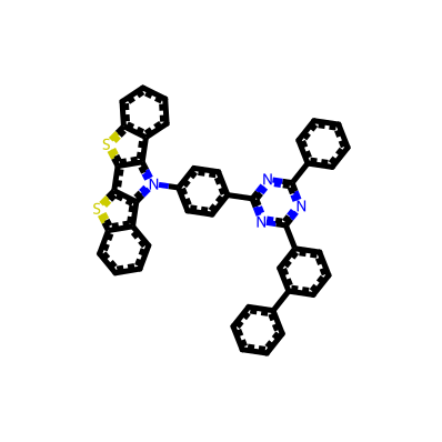 c1ccc(-c2cccc(-c3nc(-c4ccccc4)nc(-c4ccc(-n5c6c7ccccc7sc6c6sc7ccccc7c65)cc4)n3)c2)cc1